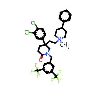 C[N+]1(CCC2(c3ccc(Cl)c(Cl)c3)CCC(=O)N(Cc3cc(C(F)(F)F)cc(C(F)(F)F)c3)C2)CCC(c2ccccc2)CC1